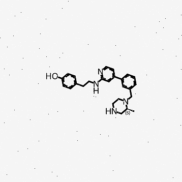 C[C@H]1CNCCN1Cc1cccc(-c2ccnc(NCCc3ccc(O)cc3)c2)c1